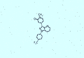 Cn1ccc(-c2nn(-c3ccc(C(F)(F)F)cc3)c3cccnc23)cc1=O